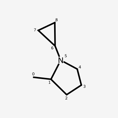 CC1CCCN1C1CC1